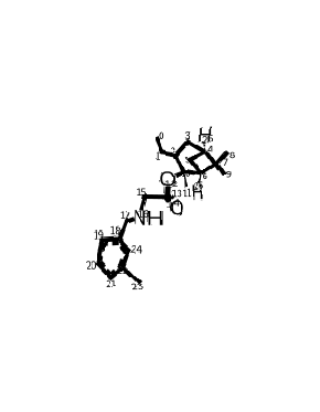 CCC1C[C@@H]2C[C@H](C2(C)C)[C@]1(C)OC(=O)CNCc1cccc(C)c1